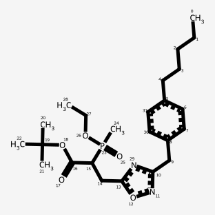 CCCCCc1ccc(Cc2noc(CC(C(=O)OC(C)(C)C)P(C)(=O)OCC)n2)cc1